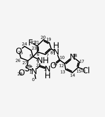 CN1C(=N)NC2(c3cc(NC(=O)c4ccc(Cl)cn4)ccc3F)CCOCC2[S+]1[O-]